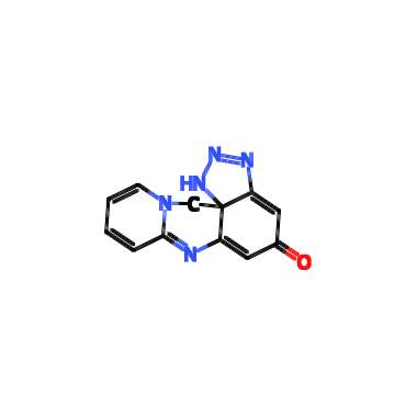 O=C1C=C2N=NNC23CN2C=CC=CC2=NC3=C1